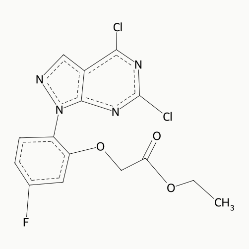 CCOC(=O)COc1cc(F)ccc1-n1ncc2c(Cl)nc(Cl)nc21